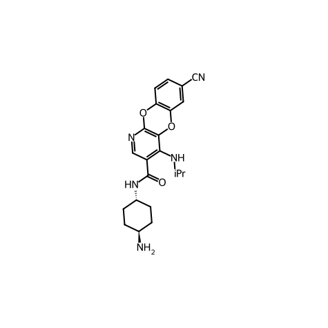 CC(C)Nc1c(C(=O)N[C@H]2CC[C@H](N)CC2)cnc2c1Oc1cc(C#N)ccc1O2